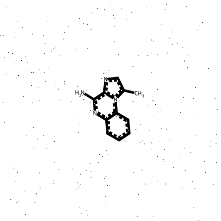 Cc1cnc2c(N)nc3ccccc3n12